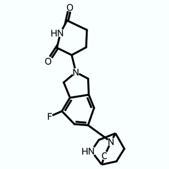 O=C1CCC(N2Cc3cc(N4CC5CCC4CN5)cc(F)c3C2)C(=O)N1